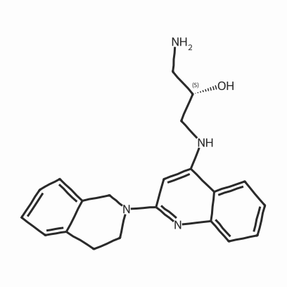 NC[C@H](O)CNc1cc(N2CCc3ccccc3C2)nc2ccccc12